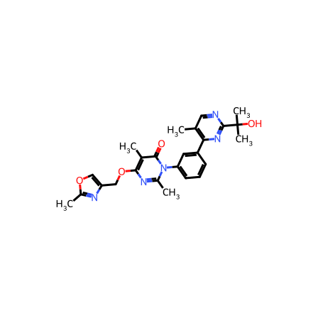 Cc1nc(COc2nc(C)n(-c3cccc(-c4nc(C(C)(C)O)ncc4C)c3)c(=O)c2C)co1